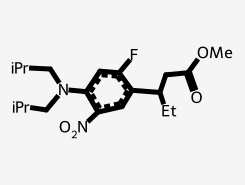 CCC(CC(=O)OC)c1cc([N+](=O)[O-])c(N(CC(C)C)CC(C)C)cc1F